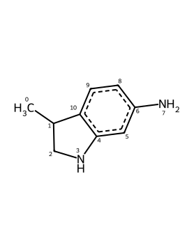 CC1CNc2cc(N)ccc21